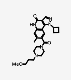 COCCCN1CCN(C(=O)c2cc3c(cc2C)[nH]c(=O)c2cnn(C4CCC4)c23)CC1